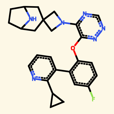 Fc1ccc(Oc2nncnc2N2CC3(CC4CCC(C3)N4)C2)c(-c2cccnc2C2CC2)c1